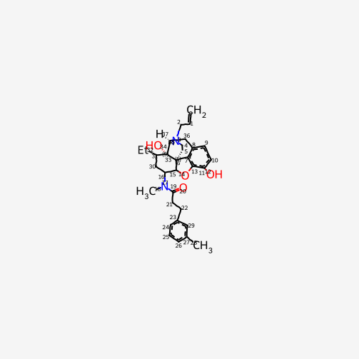 C=CCN1CC[C@]23c4c5ccc(O)c4OC2C(N(C)C(=O)CCc2cccc(C)c2)CC(CC)[C@@]3(O)[C@H]1C5